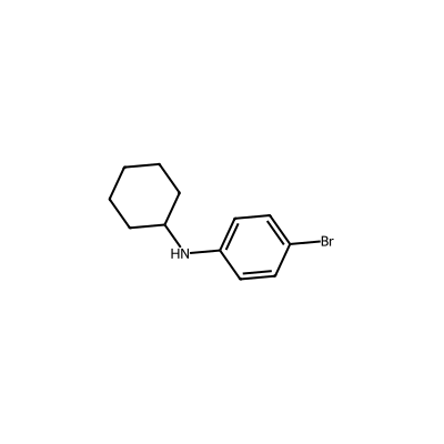 Brc1ccc(NC2CCCCC2)cc1